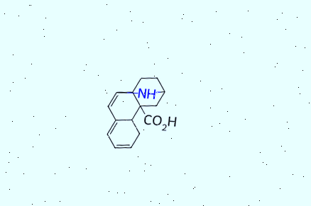 O=C(O)C12CC3CCC1C(=CC1=CC=CCC12)N3